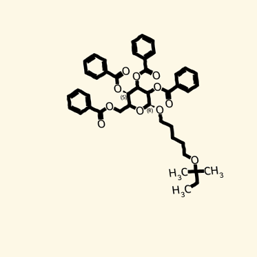 CCC(C)(C)OCCCCCO[C@@H]1OC(COC(=O)c2ccccc2)[C@H](OC(=O)c2ccccc2)C(OC(=O)c2ccccc2)C1OC(=O)c1ccccc1